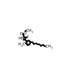 CCCCCCCCCc1ccc(C)c(-c2c[nH]c(C(=O)OCC)c2F)c1